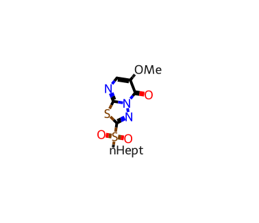 CCCCCCCS(=O)(=O)c1nn2c(=O)c(OC)cnc2s1